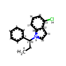 [CH2]C[C@@H](c1ccccc1)n1ccc2c(Cl)cccc21